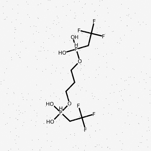 O[PH](O)(CC(F)(F)F)OCCCO[PH](O)(O)CC(F)(F)F